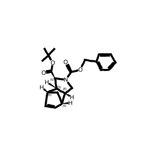 CC(C)(C)OC(=O)[C@@H]1[C@@H]2[C@H](CN1C(=O)OCc1ccccc1)[C@@H]1C=C[C@H]2C1